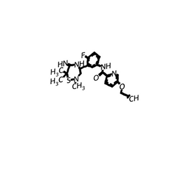 C#CCOc1ccc(C(=O)Nc2ccc(F)c(C3CN(C)SC(C)(C)C(=N)N3)c2)nc1